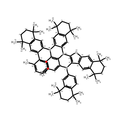 Cc1cc2c3c(c1)N(c1ccc4c(c1)C(C)(C)CCC4(C)C)c1c(oc4cc5c(cc14)C(C)(C)CCC5(C)C)B3c1cc3c(cc1N2c1cc2c(cc1-c1ccccc1C)C(C)(C)CCC2(C)C)C(C)(C)CCC3(C)C